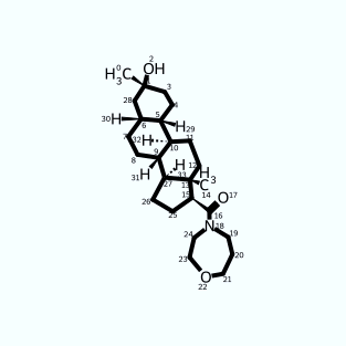 C[C@@]1(O)CC[C@H]2[C@H](CC[C@@H]3[C@@H]2CC[C@]2(C)[C@@H](C(=O)N4CCCOCC4)CC[C@@H]32)C1